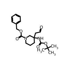 CC(C)(C)OC(=O)NC1(CC=O)CCCN(C(=O)OCc2ccccc2)C1